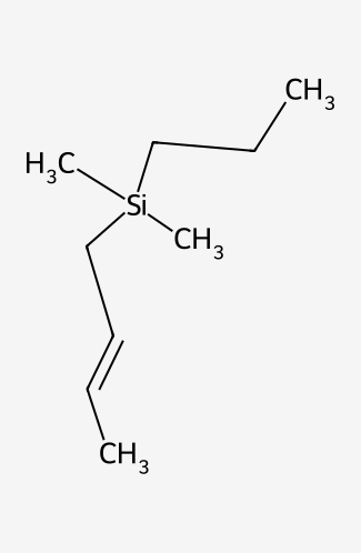 C/C=C/C[Si](C)(C)CCC